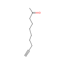 C#CCCCCCCC(C)=O